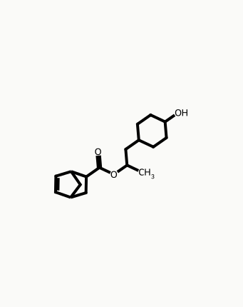 CC(CC1CCC(O)CC1)OC(=O)C1CC2C=CC1C2